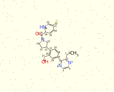 CCc1nccnc1-c1ccc(C2CCN(C(=O)C3C=CC(F)=CN3)C2)c(CO)c1